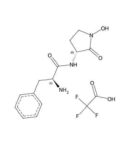 N[C@@H](Cc1ccccc1)C(=O)N[C@@H]1CCN(O)C1=O.O=C(O)C(F)(F)F